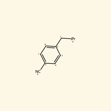 CC(C)Cc1ccc(C#N)cc1